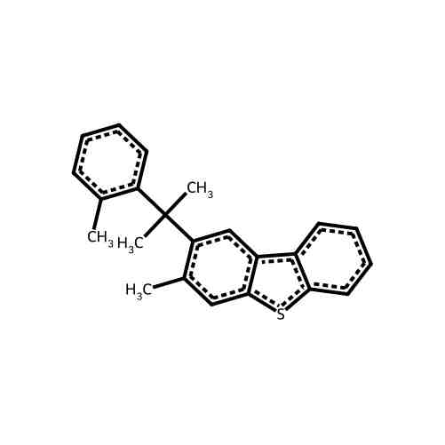 Cc1ccccc1C(C)(C)c1cc2c(cc1C)sc1ccccc12